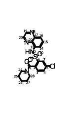 O=C(c1ccc(Cl)cc1S(=O)(=O)Nc1cccc2nccnc12)N1CCCCC1